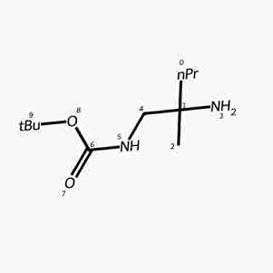 CCCC(C)(N)CNC(=O)OC(C)(C)C